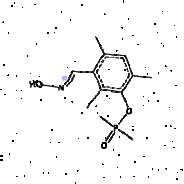 Cc1cc(C)c(OP(C)(C)=O)c(C)c1/C=N/O